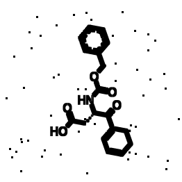 O=C(O)C[C@H](NC(=O)OCc1ccccc1)C(=O)C1=CC=CC[CH]1